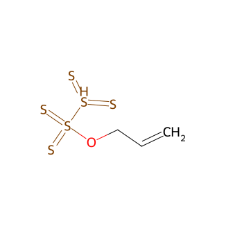 C=CCOS(=S)(=S)[SH](=S)=S